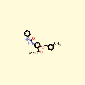 COC(=O)c1cc(NC(=O)Nc2ccccc2)ccc1OCc1cccc(C)c1